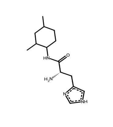 CC1CCC(NC(=O)[C@@H](N)Cc2c[nH]cn2)C(C)C1